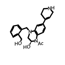 CC(=O)N1c2ccc(C3=CCNCC3)cc2N(Cc2ccccc2CO)C[C@@H]1O